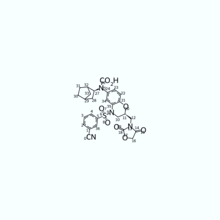 N#Cc1cccc(S(=O)(=O)N2C[C@H](CN3C(=O)COC3=O)Oc3ccc(N(C(=O)O)[C@H]4CC5CCC4C5)cc32)c1